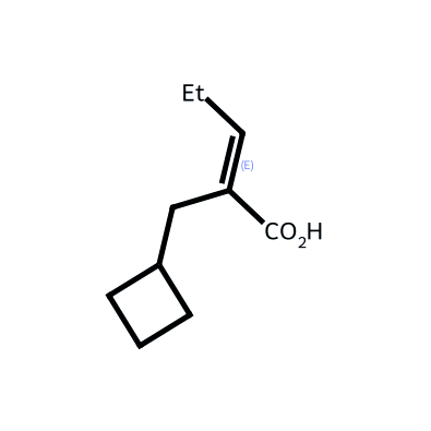 CC/C=C(\CC1CCC1)C(=O)O